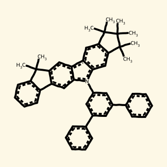 CC1(C)c2ccccc2-c2cc3c(cc21)c1cc2c(cc1n3-c1cc(-c3ccccc3)cc(-c3ccccc3)c1)C(C)(C)C(C)(C)C2(C)C